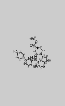 CC(C)c1cnc(-c2ccc(F)cc2)nc1Nc1ccnc2[nH]cc(N3CCN(C(=O)OC(C)(C)C)C[C@H]3C)c12